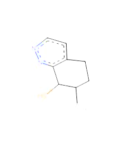 CC1CCc2ccnnc2C1S